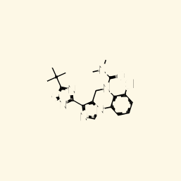 CN(C)C(=O)N1Cc2c(-c3noc(C(C)(C)C)n3)ncn2-c2cccc(Cl)c21